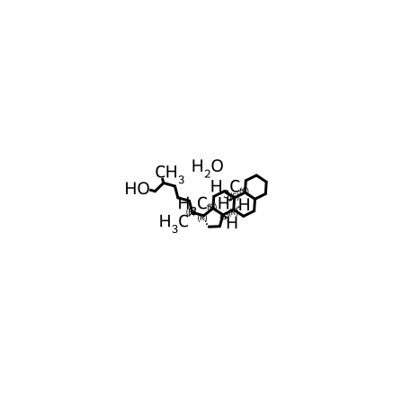 CC(CO)CCC[C@@H](C)[C@H]1CC[C@H]2[C@@H]3CCC4CCCC[C@]4(C)[C@H]3CC[C@]12C.O